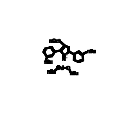 CCCCCCCCC1=C(c2cccc(CCCC)c2)[N+](=[N-])C(c2cccc(CCCC)c2)=C1.CCCC[O][Pd][O]CCCC